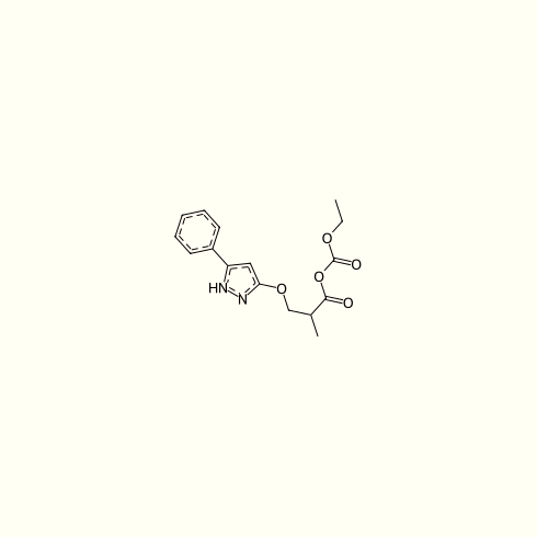 CCOC(=O)OC(=O)C(C)COc1cc(-c2ccccc2)[nH]n1